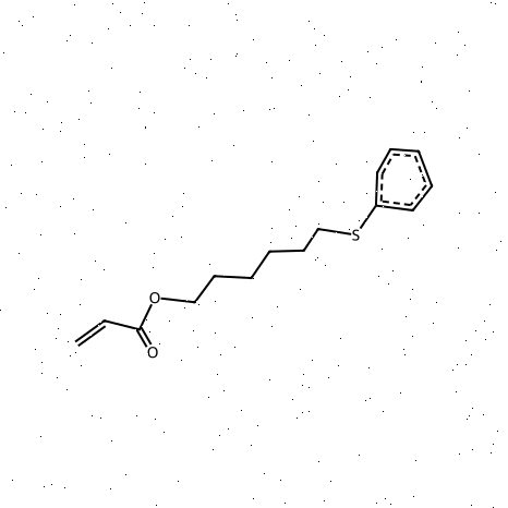 C=CC(=O)OCCCCCCSc1ccccc1